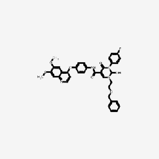 COc1cc2nccc(Oc3ccc(NC(=O)C4=CN(CCOCc5ccccc5)C(O)N(c5ccc(F)cc5)C4=O)cc3)c2cc1OC